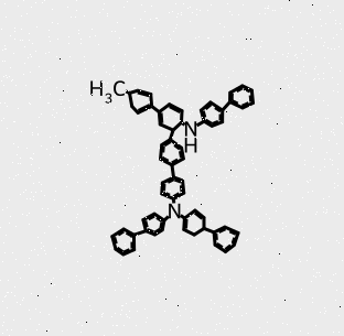 CC1C=CC(C2=CC(c3ccc(-c4ccc(N(C5=CCC(c6ccccc6)C=C5)c5ccc(-c6ccccc6)cc5)cc4)cc3)C(Nc3ccc(-c4ccccc4)cc3)C=C2)=CC1